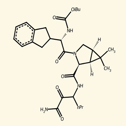 CCCC(NC(=O)[C@@H]1[C@H]2[C@@H](CN1C(=O)[C@@H](NC(=O)OCC(C)C)C1Cc3ccccc3C1)C2(C)C)C(=O)C(N)=O